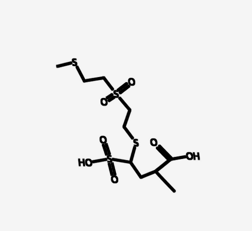 CSCCS(=O)(=O)CCSC(CC(C)C(=O)O)S(=O)(=O)O